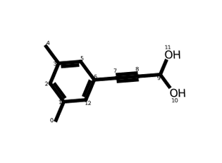 Cc1cc(C)cc(C#CC(O)O)c1